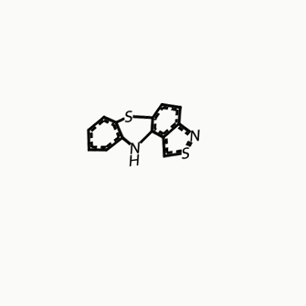 c1ccc2c(c1)Nc1c(ccc3nscc13)S2